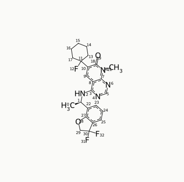 C[C@@H](Nc1ncnc2c1cc(C1(F)CCCCC1)c(=O)n2C)c1cccc2c1OCC2(F)F